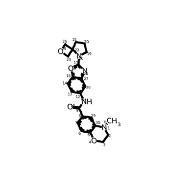 CN1CCOc2ccc(C(=O)Nc3ccc4oc(N5CCCC56COC6)nc4c3)cc21